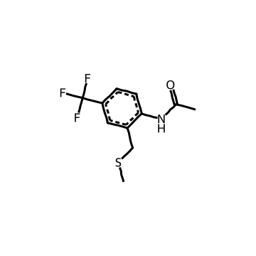 CSCc1cc(C(F)(F)F)ccc1NC(C)=O